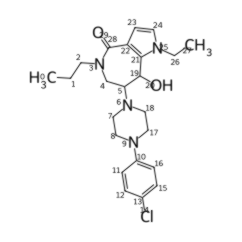 CCCN1CC(N2CCN(c3ccc(Cl)cc3)CC2)C(O)c2c(ccn2CC)C1=O